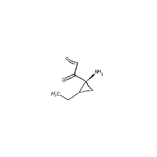 CCC1C[C@@]1(N)C(=O)C=O